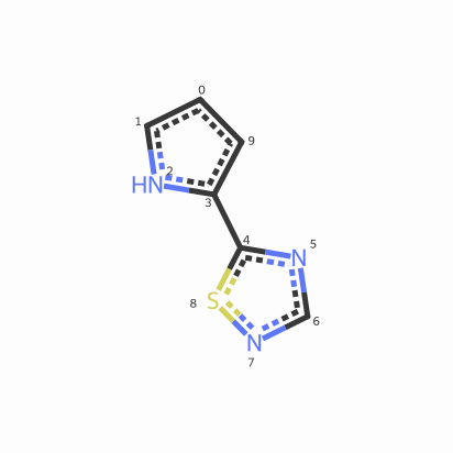 c1c[nH]c(-c2ncns2)c1